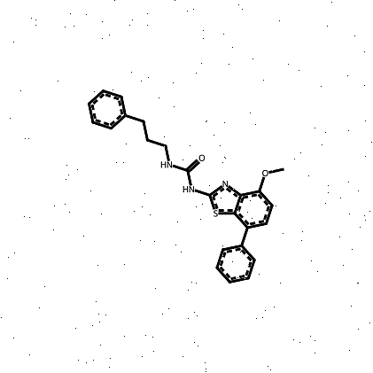 COc1ccc(-c2ccccc2)c2sc(NC(=O)NCCCc3ccccc3)nc12